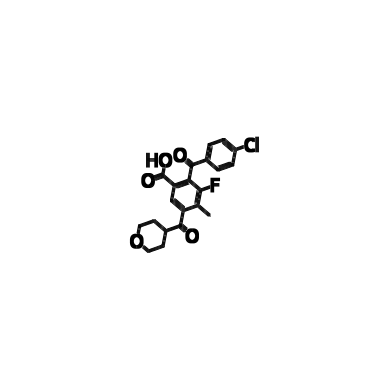 Cc1c(C(=O)C2CCOCC2)cc(C(=O)O)c(C(=O)c2ccc(Cl)cc2)c1F